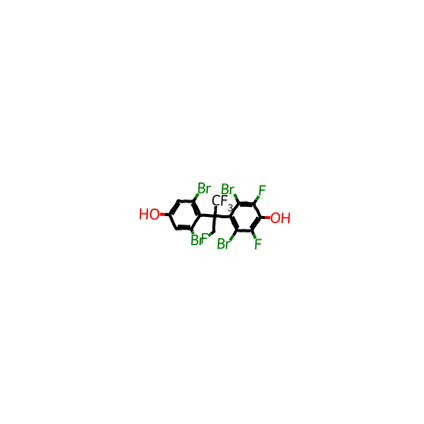 Oc1cc(Br)c(C(CF)(c2c(Br)c(F)c(O)c(F)c2Br)C(F)(F)F)c(Br)c1